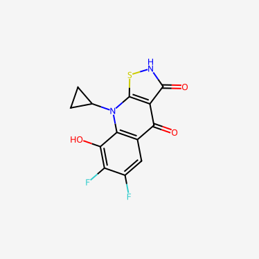 O=c1[nH]sc2c1c(=O)c1cc(F)c(F)c(O)c1n2C1CC1